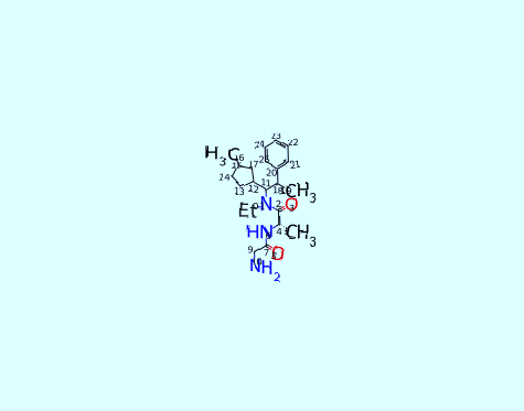 CCN(C(=O)[C@H](C)NC(=O)CN)C(C1CCC(C)C1)C(C)c1ccccc1